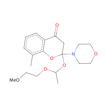 COCCOC(C)OC1(N2CCOCC2)CC(=O)c2cccc(C)c2O1